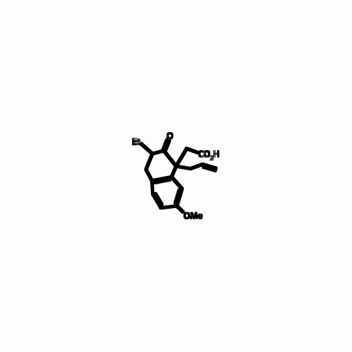 C=CCC1(CC(=O)O)C(=O)C(CC)Cc2ccc(OC)cc21